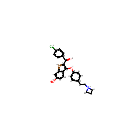 O=C(c1ccc(Cl)cc1)c1sc2cc(O)ccc2c1Oc1ccc(CCN2CCC2)cc1